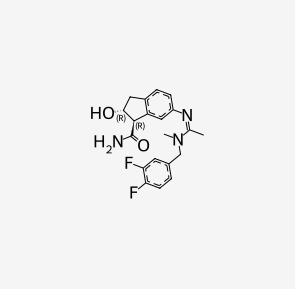 CC(=Nc1ccc2c(c1)[C@@H](C(N)=O)[C@H](O)C2)N(C)Cc1ccc(F)c(F)c1